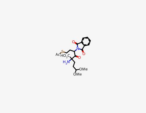 COC(CCC(N)(C(=O)O)C(=O)C(CCSC(C)=O)N1C(=O)c2ccccc2C1=O)OC